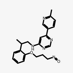 Cc1ccc(-c2cc(NCC(C)c3ccccc3OCCCN=O)ncn2)cn1